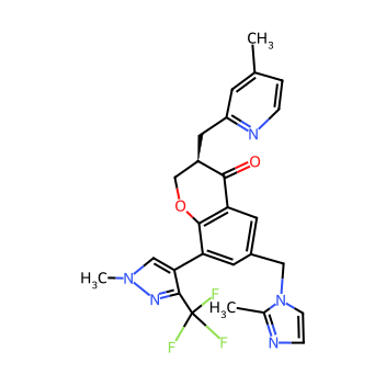 Cc1ccnc(C[C@@H]2COc3c(cc(Cn4ccnc4C)cc3-c3cn(C)nc3C(F)(F)F)C2=O)c1